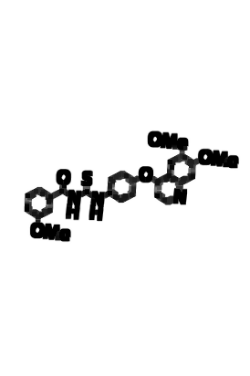 COc1cccc(C(=O)NC(=S)Nc2ccc(Oc3ccnc4cc(OC)c(OC)cc34)cc2)c1